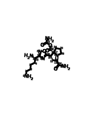 NCCCC[C@H](N)c1noc([C@@H](CCC(N)=O)[C@@]2(C(=O)OC(N)=O)CCCN2)n1